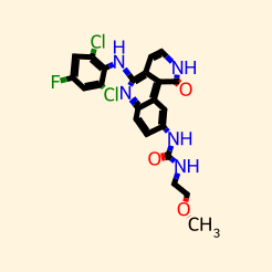 COCCNC(=O)Nc1ccc2nc(Nc3c(Cl)cc(F)cc3Cl)c3cc[nH]c(=O)c3c2c1